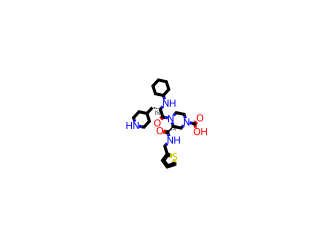 O=C(NCc1cccs1)[C@@H]1CN(C(=O)O)CCN1C(=O)[C@H](CC1CCNCC1)NC1CCCCC1